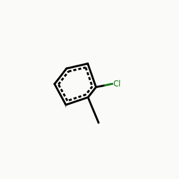 Cc1[c]cccc1Cl